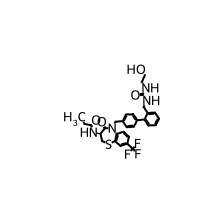 CCC(=O)N[C@@H]1CSc2cc(C(F)(F)F)ccc2N(Cc2ccc(-c3ccccc3CNC(=O)NCCO)cc2)C1=O